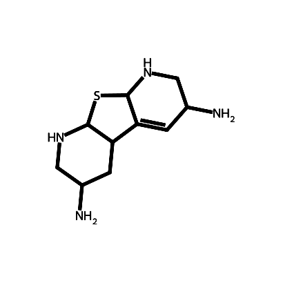 NC1C=C2C(NC1)SC1NCC(N)CC21